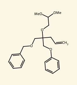 C=CCC(COCc1ccccc1)(COc1ccccc1)OCC(OC)OC